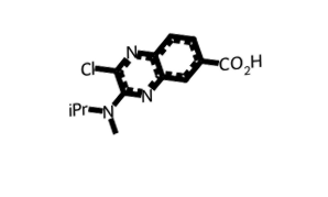 CC(C)N(C)c1nc2cc(C(=O)O)ccc2nc1Cl